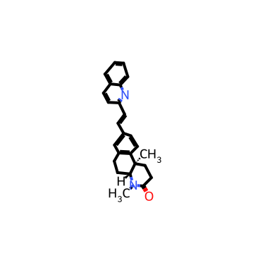 CN1C(=O)CC[C@]2(C)c3ccc(C=Cc4ccc5ccccc5n4)cc3CC[C@@H]12